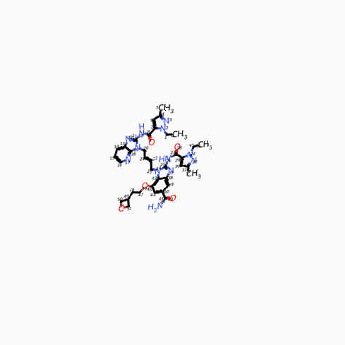 CCn1nc(C)cc1C(=O)Nc1nc2cccnc2n1CC=CCn1c(NC(=O)c2cc(C)nn2CC)nc2cc(C(N)=O)cc(OCCC3COC3)c21